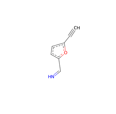 C#Cc1ccc(C=N)o1